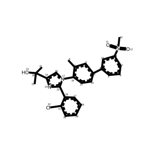 Cc1cc(-c2cccc(S(C)(=O)=O)c2)ccc1-n1cc(C(C)(C)O)nc1-c1ccccc1Cl